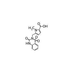 Cn1c(CN2C(=O)Nc3ccccc3S2(=O)=O)ccc1C(=O)O